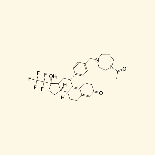 CC(=O)N1CCCN(Cc2ccc([C@H]3C[C@@]4(C)[C@@H](CC[C@]4(O)C(F)(F)C(F)(F)F)[C@@H]4CCC5=CC(=O)CCC5=C43)cc2)CC1